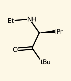 CCN[C@H](C(=O)C(C)(C)C)C(C)C